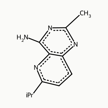 Cc1nc(N)c2nc(C(C)C)ccc2n1